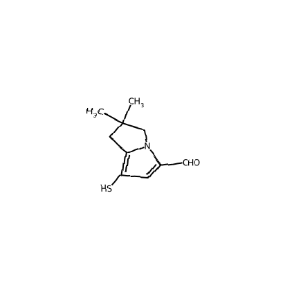 CC1(C)Cc2c(S)cc(C=O)n2C1